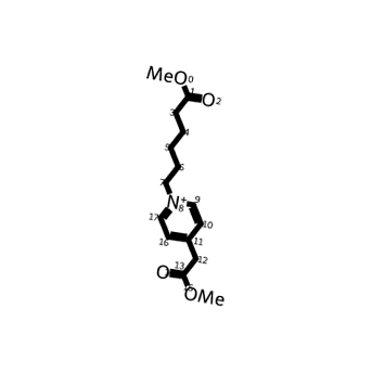 COC(=O)CCCCC[n+]1ccc(CC(=O)OC)cc1